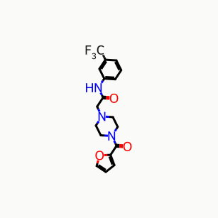 O=C(CN1CCN(C(=O)c2ccco2)CC1)Nc1cccc(C(F)(F)F)c1